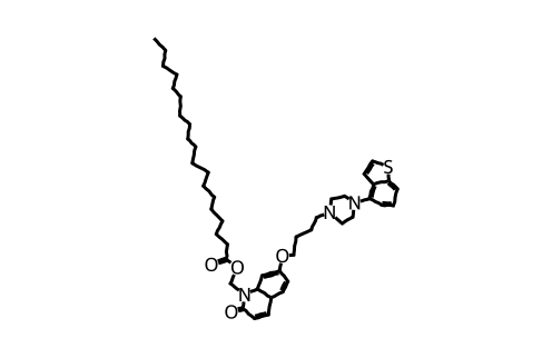 CCCCCCCCCCCCCCCCCCC(=O)OCN1C(=O)C=CC2C=CC(OCCCCN3CCN(c4cccc5sccc45)CC3)=CC21